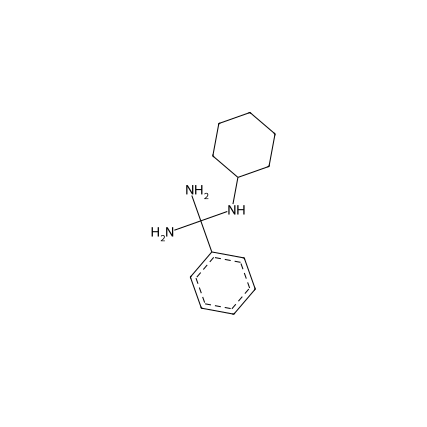 NC(N)(NC1CCCCC1)c1ccccc1